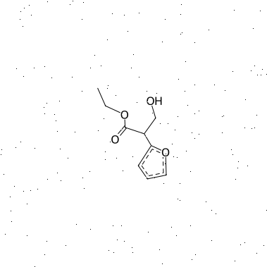 CCOC(=O)C(CO)c1ccco1